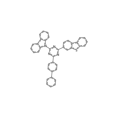 c1ccc(-c2ccc(-c3nc(-c4ccc5c(c4)sc4ccccc45)nc(-n4c5ccccc5c5ccccc54)n3)cc2)cc1